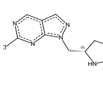 Clc1ncc2cnn(C[C@@H]3CCCN3)c2n1